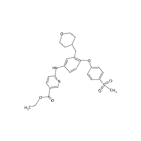 CCOC(=O)c1ccc(Nc2ccc(Oc3ccc(S(C)(=O)=O)cc3)c(CC3CCOCC3)c2)nc1